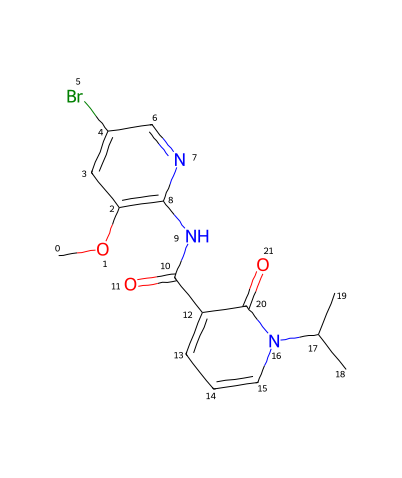 COc1cc(Br)cnc1NC(=O)c1cccn(C(C)C)c1=O